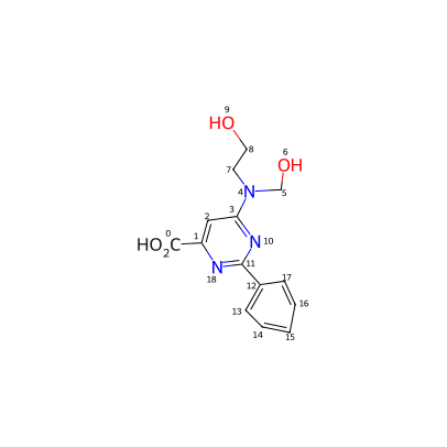 O=C(O)c1cc(N(CO)CCO)nc(-c2ccccc2)n1